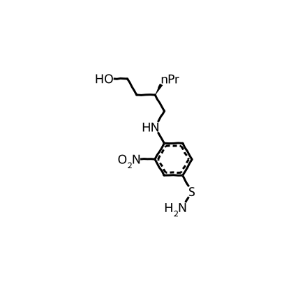 CCC[C@H](CCO)CNc1ccc(SN)cc1[N+](=O)[O-]